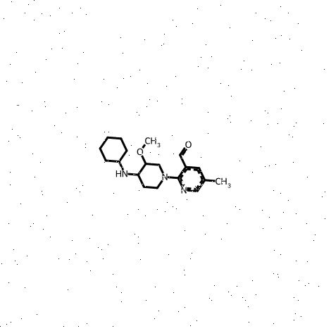 COC1CN(c2ncc(C)cc2C=O)CCC1NC1CCCCC1